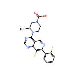 CC1CN(C(=O)O)CCN1c1ncnc2c(F)c(-c3ccccc3F)ncc12